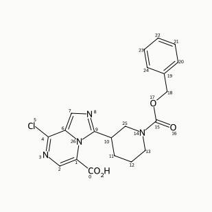 O=C(O)c1cnc(Cl)c2cnc(C3CCCN(C(=O)OCc4ccccc4)C3)n12